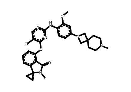 COc1cc(N2CC3(CCN(C)CC3)C2)ccc1Nc1ncc(Cl)c(Oc2cccc3c2C(=O)N(C)C32CC2)n1